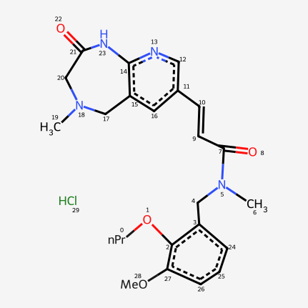 CCCOc1c(CN(C)C(=O)C=Cc2cnc3c(c2)CN(C)CC(=O)N3)cccc1OC.Cl